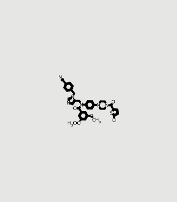 COc1cc(OC)cc(C(=O)N(Cc2cncn2Cc2ccc(C#N)cc2)c2ccc(N3CCN(C(=O)c4ccc(Cl)s4)CC3)cc2)c1